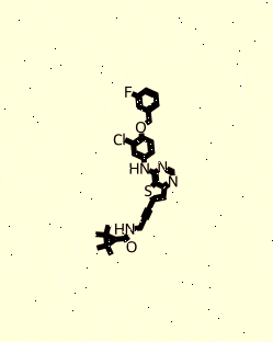 CC1(C)C(C(=O)NCC#Cc2cc3ncnc(Nc4ccc(OCc5cccc(F)c5)c(Cl)c4)c3s2)C1(C)C